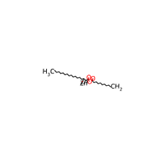 C=CCCCCCCCCC(=O)OC(=O)CCCCCCCCCCCCCCCCC.[Zn].[Zn]